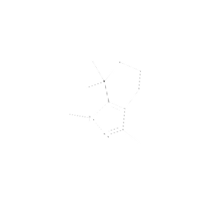 Cc1nn(C)c2c1CCCC2(C)C